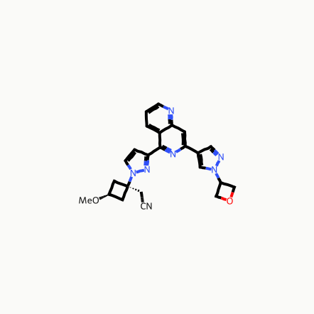 CO[C@H]1C[C@@](CC#N)(n2ccc(-c3nc(-c4cnn(C5COC5)c4)cc4ncccc34)n2)C1